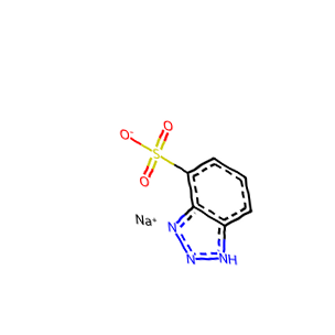 O=S(=O)([O-])c1cccc2[nH]nnc12.[Na+]